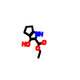 CCOC(=O)c1[nH]c2c(c1O)CCC2